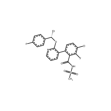 CC[C@H](Oc1ncccc1-c1ccc(Cl)c(F)c1C(=O)NS(C)(=O)=O)c1ccc(F)cc1